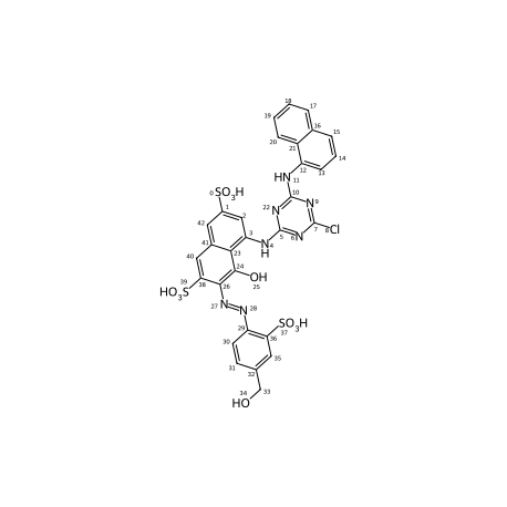 O=S(=O)(O)c1cc(Nc2nc(Cl)nc(Nc3cccc4ccccc34)n2)c2c(O)c(/N=N/c3ccc(CO)cc3S(=O)(=O)O)c(S(=O)(=O)O)cc2c1